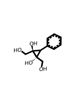 OC[C@]1(O)C(c2ccccc2)[C@@]1(O)CO